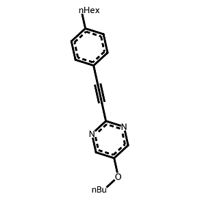 CCCCCCc1ccc(C#Cc2ncc(OCCCC)cn2)cc1